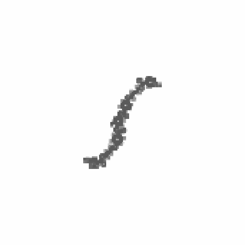 Cc1cc(OC(=O)c2ccc(OCCCCOC(=O)C(CC(C)(C)C)C(C)(C)C)cc2)ccc1OC(=O)c1ccc(OCCCCOC(=O)C(CC(C)(C)C)C(C)(C)C)cc1